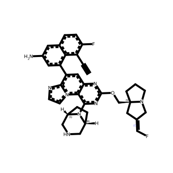 C#Cc1c(F)ccc2cc(N)cc(-c3cc4nc(OC[C@@]56CCCN5C/C(=C\F)C6)nc(N5[C@@H]6CC[C@H]5CNC6)c4n4ccnc34)c12